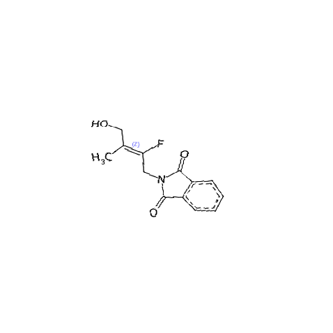 C/C(CO)=C(/F)CN1C(=O)c2ccccc2C1=O